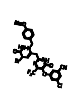 COc1ccc(CN2NC(=O)C(Br)C=C2Cc2nc(C(F)(F)F)c(Oc3cc(Cl)cc(C#N)c3)c(=O)[nH]2)cc1